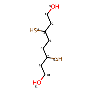 OCCC(S)CCC(S)CCO